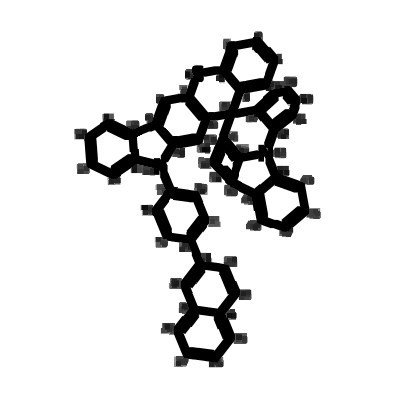 c1ccc2c(c1)Sc1cc3c4ccccc4n(-c4ccc(-c5ccc6ccccc6c5)cc4)c3cc1C21c2ccccc2-n2c3ccccc3c3cccc1c32